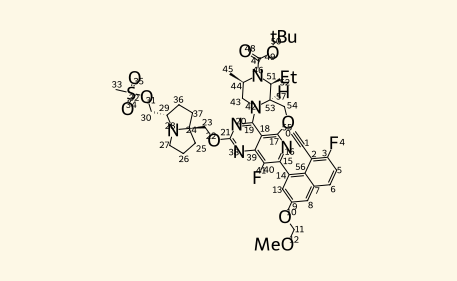 C#Cc1c(F)ccc2cc(OCOC)cc(-c3nc4c5c(nc(OC[C@@]67CCCN6[C@H](COS(C)(=O)=O)CC7)nc5c3F)N3C[C@@H](C)N(C(=O)OC(C)(C)C)[C@@H](CC)[C@H]3CO4)c12